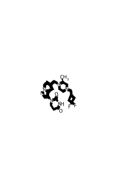 C[C@H]1CN(CC2CC(F)(F)C2)CCN1Cc1ccn2ncc(N3CCC(=O)NC3=O)c2c1